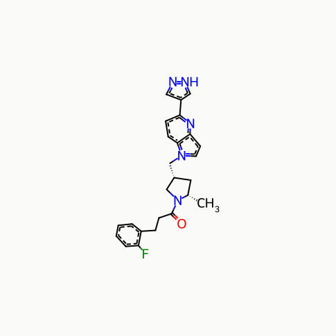 C[C@H]1C[C@@H](Cn2ccc3nc(-c4cn[nH]c4)ccc32)CN1C(=O)CCc1ccccc1F